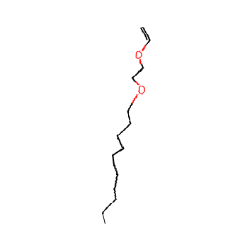 C=COCCOCCCCCCCCCC